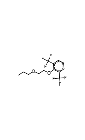 CCCOCCOc1c(C(F)(F)F)cccc1C(F)(F)F